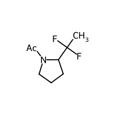 CC(=O)N1CCCC1C(C)(F)F